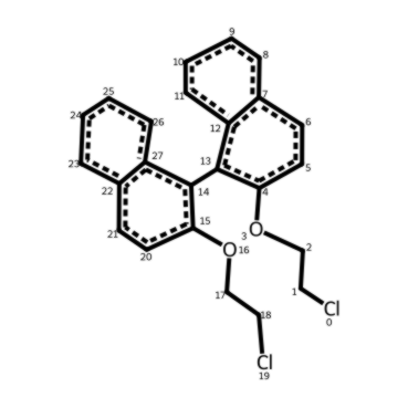 ClCCOc1ccc2ccccc2c1-c1c(OCCCl)ccc2ccccc12